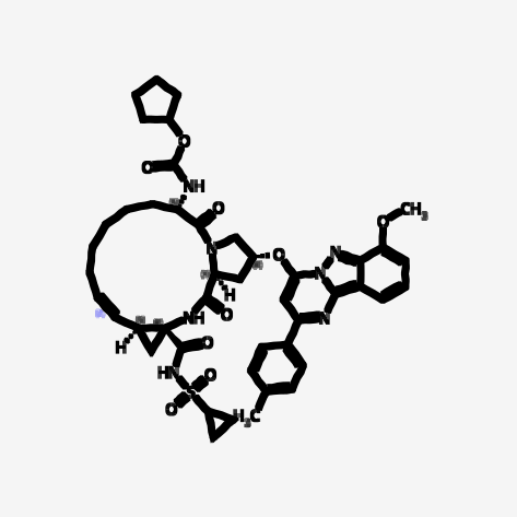 COc1cccc2c1nn1c(O[C@@H]3C[C@H]4C(=O)N[C@]5(C(=O)NS(=O)(=O)C6CC6)C[C@H]5/C=C\CCCCC[C@H](NC(=O)OC5CCCC5)C(=O)N4C3)cc(-c3ccc(C)cc3)nc21